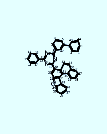 c1ccc(-c2cccc(-c3nc(-c4ccccc4)nc(-c4cc5oc6ccccc6c5c5c4ccc4ccccc45)n3)c2)cc1